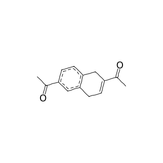 CC(=O)C1=CCc2cc(C(C)=O)ccc2C1